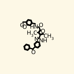 Cc1oc(C(=O)NCc2ccc3c(c2)OOC3)c(C)c1-c1nc2cc(C(=O)c3ccccc3)ccc2[nH]1